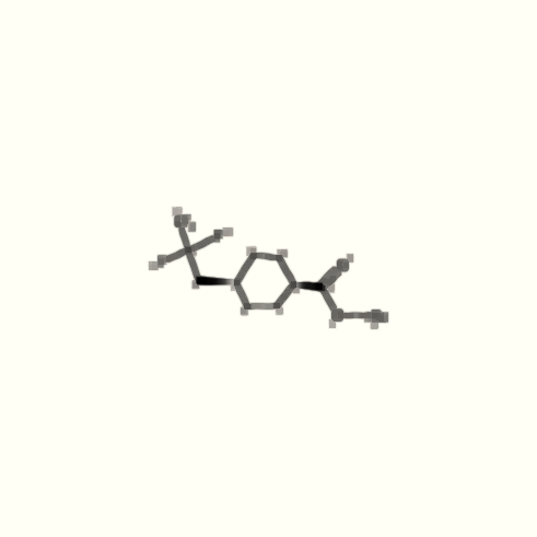 CCCCOC(=O)[C@H]1CC[C@@H](CC(F)(F)C(F)(F)F)CC1